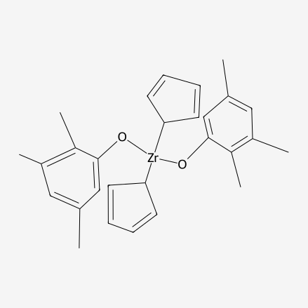 Cc1cc(C)c(C)c([O][Zr]([O]c2cc(C)cc(C)c2C)([CH]2C=CC=C2)[CH]2C=CC=C2)c1